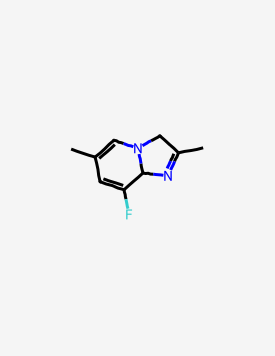 CC1=CN2CC(C)=NC2C(F)=C1